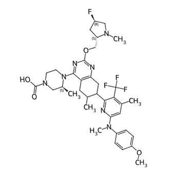 COc1ccc(N(C)c2cc(C)c(C(F)(F)F)c(C3Cc4nc(OC[C@@H]5C[C@@H](F)CN5C)nc(N5CCN(C(=O)O)C[C@@H]5C)c4CC3C)n2)cc1